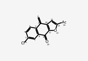 C=C1c2ccc(Cl)cc2C(=O)c2oc(C(C)=O)cc21